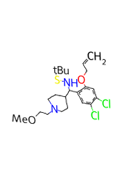 C=CCOc1cc(Cl)c(Cl)cc1C(NSC(C)(C)C)C1CCN(CCOC)CC1